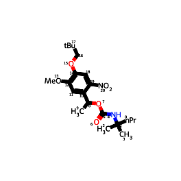 CCCC(C)(C)NC(=O)OC(C)c1cc(OC)c(OCC(C)(C)C)cc1[N+](=O)[O-]